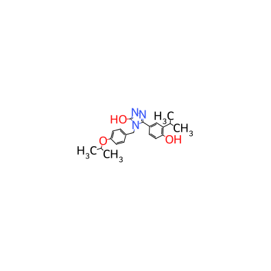 CC(C)Oc1ccc(Cn2c(O)nnc2-c2ccc(O)c(C(C)C)c2)cc1